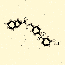 CCOc1cccc(S(=O)(=O)c2ccc(CNC(=O)c3cc4ccncc4s3)cc2)c1